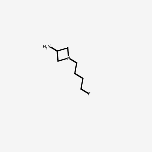 NC1CN(CCCCF)C1